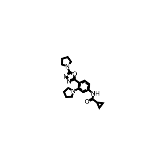 O=C(Nc1ccc(-c2nnc(N3CCCC3)o2)c(N2CCCC2)c1)C1CC1